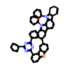 C1=Cc2c(n(-c3ccccc3)c3c2ccc2c4cc(-c5ccc6sc7cccc(-c8nc(-c9ccccc9)nc(-c9ccccc9)n8)c7c6c5)ccc4n(-c4ccccc4)c23)CC1